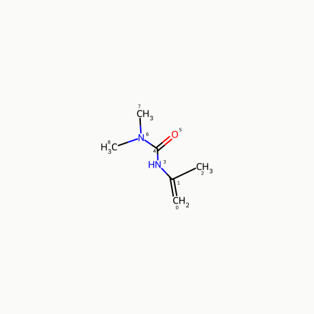 C=C(C)NC(=O)N(C)C